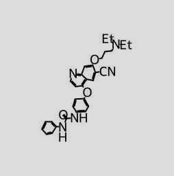 CCN(CC)CCCOc1cc2nccc(Oc3ccc(NC(=O)Nc4ccccc4)cc3)c2cc1C#N